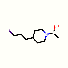 CB(O)N1CCC(CCCI)CC1